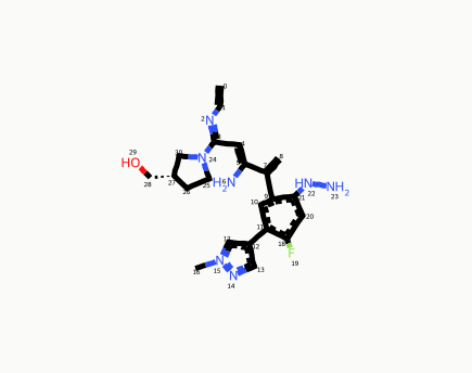 C=C/N=C(\C=C(/N)C(=C)c1cc(-c2cnn(C)c2)c(F)cc1NN)N1CC[C@H](CO)C1